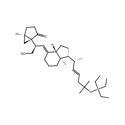 CC[Si](CC)(CC)OC(C)(C)C/C=C/[C@@H](C)[C@H]1CC[C@H]2/C(=C/[C@@H](CO)[C@]34C[C@H]3CCC4=O)CCC[C@]12C